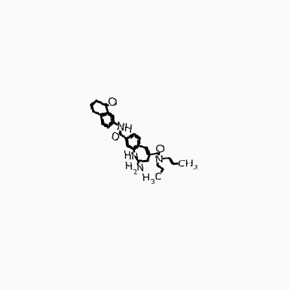 CCCN(CCC)C(=O)C1=Cc2ccc(C(=O)Nc3ccc4c(c3)C(=O)CCC4)cc2NC(N)C1